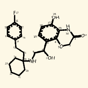 O=C1COc2c(C(O)CNC3(CCc4ccc(F)cc4)CCCCC3)ccc(O)c2N1